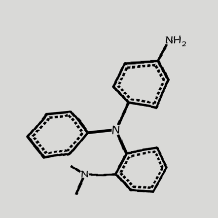 CN(C)c1ccccc1N(c1ccccc1)c1ccc(N)cc1